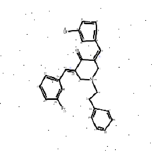 O=C1/C(=C\c2cccc(Br)c2)CN(CCc2ccccc2)C/C1=C\c1cccc(Br)c1